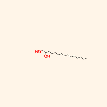 CCCCCCCCCCCCCC(O)CO